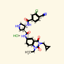 CCn1c(=O)n(CC2CC2)c(=O)c2cc(NC(=O)[C@H]3CNC[C@@H]3NC(=O)c3ccc(C#N)c(Cl)c3)ccc21.Cl